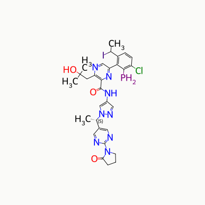 CC(I)c1ccc(Cl)c(P)c1-c1cnc(CC(C)(C)O)c(C(=O)Nc2cnn([C@@H](C)c3cnc(N4CCCC4=O)nc3)c2)n1